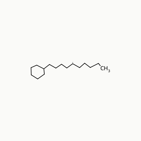 CCCCC[CH]CCCCC1CCCCC1